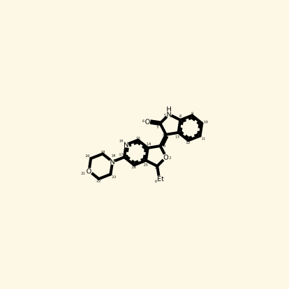 CCC1O/C(=C2/C(=O)Nc3ccccc32)c2cnc(N3CCOCC3)cc21